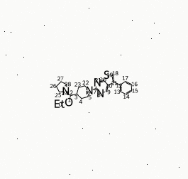 CCOC(C1CCN(c2ncc3c(-c4ccccc4)csc3n2)CC1)N1CCCC1